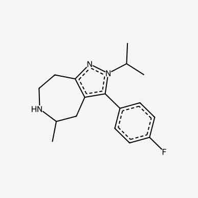 CC1Cc2c(nn(C(C)C)c2-c2ccc(F)cc2)CCN1